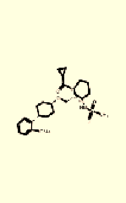 COc1ccccc1[C@H]1CC[C@@H](OC[C@H]2[C@@H](NS(C)(=O)=O)CCCN2C(=O)C2CC2)CC1